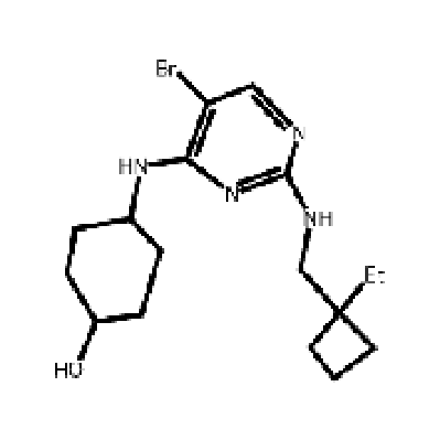 CCC1(CNc2ncc(Br)c(NC3CCC(O)CC3)n2)CCC1